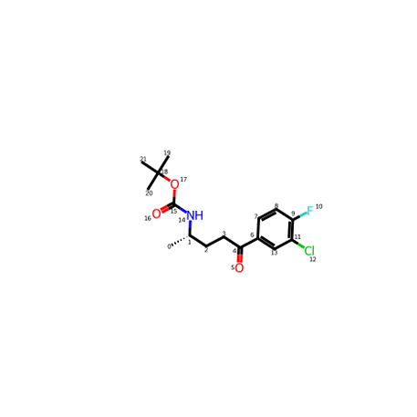 C[C@@H](CCC(=O)c1ccc(F)c(Cl)c1)NC(=O)OC(C)(C)C